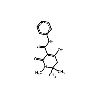 CN1C(=O)C(C(=S)Nc2ccccc2)=C(O)CC1(C)C